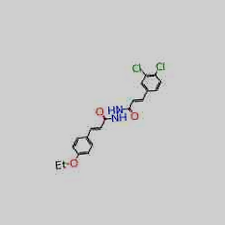 CCOc1ccc(/C=C/C(=O)NNC(=O)/C=C/c2ccc(Cl)c(Cl)c2)cc1